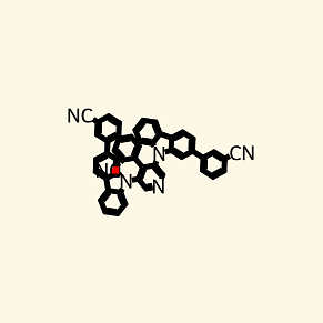 N#Cc1cccc(-c2ccc3c4ccccc4n(-c4cncc(-n5c6ccccc6c6ccc(-c7cccc(C#N)c7)cc65)c4-c4ccccc4C#N)c3c2)c1